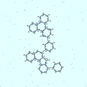 c1ccc(-c2cccc3c2oc2c(-c4cccc(-c5cnc6c7ccccc7c7ccccc7c6n5)c4)cc4ccccc4c23)cc1